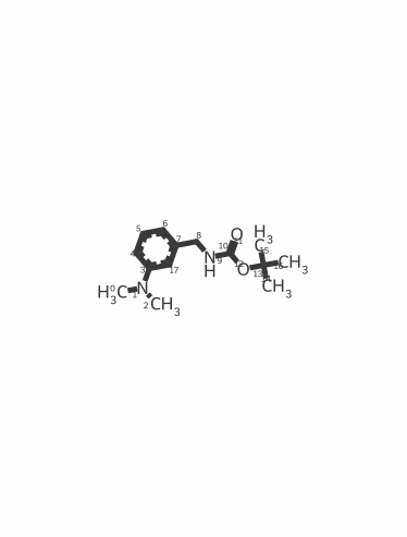 CN(C)c1cccc(CNC(=O)OC(C)(C)C)c1